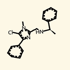 C[C@@H](NCc1nc(-c2ccccc2)c(Cl)n1C)c1ccccc1